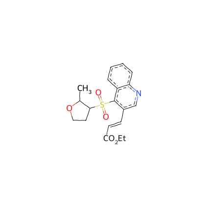 CCOC(=O)C=Cc1cnc2ccccc2c1S(=O)(=O)C1CCOC1C